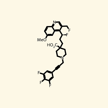 COc1ccc2ncc(CF)c([C@@H](F)CCC3(C(=O)O)CCN(CC#Cc4cc(F)c(F)c(F)c4)CC3)c2c1